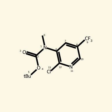 CN(C(=O)OC(C)(C)C)c1cc(C(F)(F)F)cnc1Cl